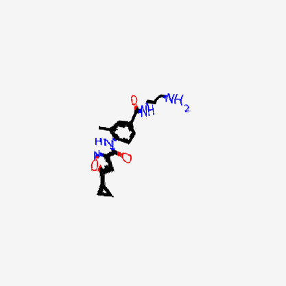 Cc1cc(C(=O)NCCCN)ccc1NC(=O)c1cc(C2CC2)on1